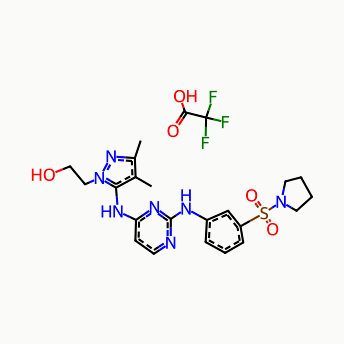 Cc1nn(CCO)c(Nc2ccnc(Nc3cccc(S(=O)(=O)N4CCCC4)c3)n2)c1C.O=C(O)C(F)(F)F